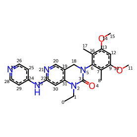 CCN1C(=O)N(c2c(C)c(OC)cc(OC)c2C)Cc2cnc(Nc3ccncc3)cc21